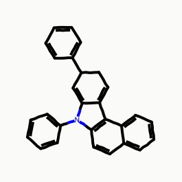 C1=c2c(n(-c3ccccc3)c3ccc4ccccc4c23)=CC(c2ccccc2)C1